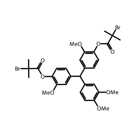 COc1ccc(C(c2ccc(OC(=O)C(C)(C)Br)c(OC)c2)c2ccc(OC(=O)C(C)(C)Br)c(OC)c2)cc1OC